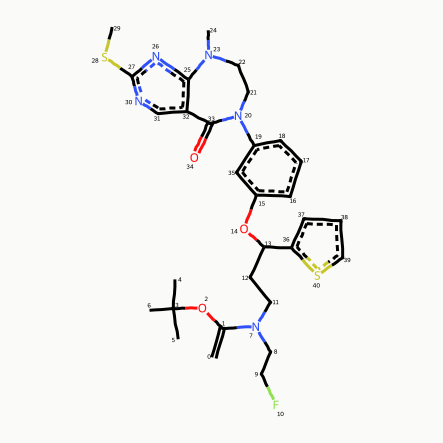 C=C(OC(C)(C)C)N(CCF)CCC(Oc1cccc(N2CCN(C)c3nc(SC)ncc3C2=O)c1)c1cccs1